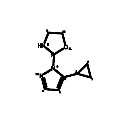 c1cc(C2CC2)n(C2NCCO2)n1